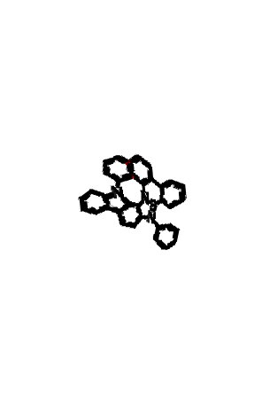 c1ccc(N2B3c4ccccc4-c4ccccc4N3c3c2ccc2c4ccccc4n(-c4ccccc4)c32)cc1